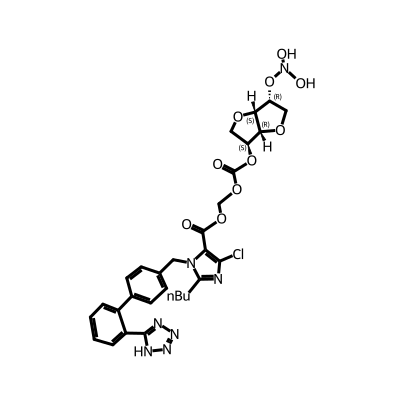 CCCCc1nc(Cl)c(C(=O)OCOC(=O)O[C@H]2CO[C@H]3[C@@H]2OC[C@H]3ON(O)O)n1Cc1ccc(-c2ccccc2-c2nnn[nH]2)cc1